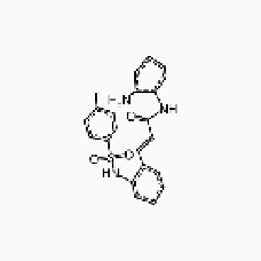 Cc1ccc(S(=O)(=O)Nc2ccccc2C=CC(=O)Nc2ccccc2N)cc1